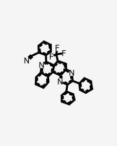 N#Cc1ccccc1-c1nc2ccccc2c2c1c(C(F)(F)F)cc1nc(-c3ccccc3)c(-c3ccccc3)nc12